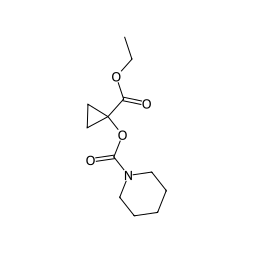 CCOC(=O)C1(OC(=O)N2CCCCC2)CC1